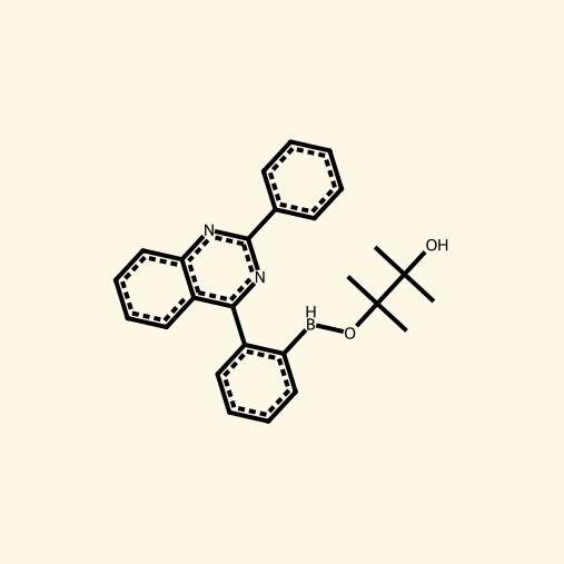 CC(C)(O)C(C)(C)OBc1ccccc1-c1nc(-c2ccccc2)nc2ccccc12